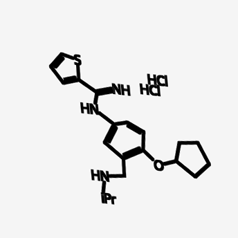 CC(C)NCc1cc(NC(=N)c2cccs2)ccc1OC1CCCC1.Cl.Cl